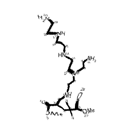 COC(=O)C(CNCCN(CCN)CCNCCNCCN)CC(C)(C)C(=O)OC